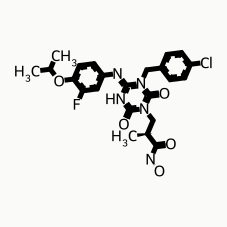 CC(C)Oc1ccc(/N=c2\[nH]c(=O)n(C[C@H](C)C(=O)N=O)c(=O)n2Cc2ccc(Cl)cc2)cc1F